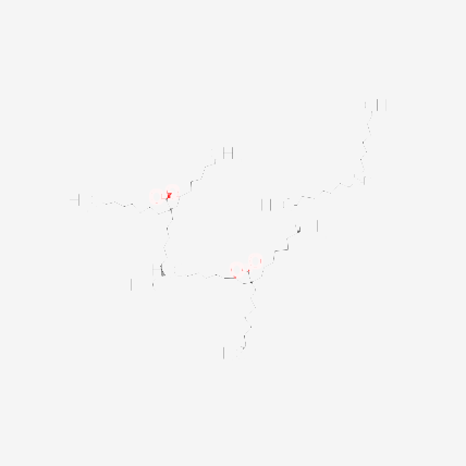 CCCCCCCCC(CCCCCCCC)(CCCCCCCC)C(=O)[O-].CCCCCCCCC(CCCCCCCC)(CCCCCCCC)C(=O)[O-].CCCCCCC[CH2][Sn+2][CH2]CCCCCCC